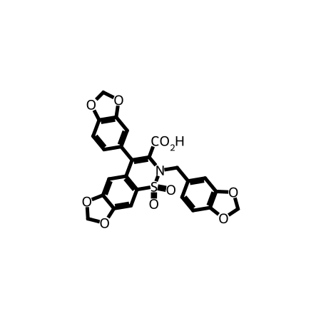 O=C(O)C1=C(c2ccc3c(c2)OCO3)c2cc3c(cc2S(=O)(=O)N1Cc1ccc2c(c1)OCO2)OCO3